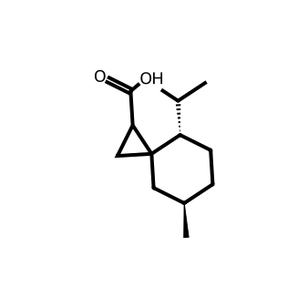 CC(C)[C@@H]1CC[C@@H](C)CC12CC2C(=O)O